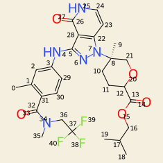 Cc1cc(Nc2nn([C@]3(C)CCC(C(=O)OCC(C)C)OC3)c3cc[nH]c(=O)c23)ccc1C(=O)N(C)CC(F)(F)F